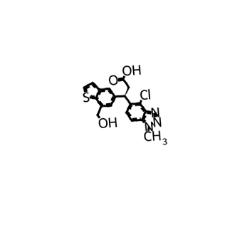 Cn1nnc2c(Cl)c([C@H](CC(=O)O)c3cc(CO)c4sccc4c3)ccc21